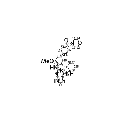 COc1cc(-c2ccc(C(=O)N3CCOCC3)cc2)ccc1Nc1nc(NC2CCCCC2)c2nc[nH]c2n1